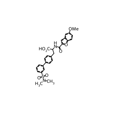 COc1ccc2oc(C(=O)NC(Cc3ccc(-c4cccc(S(=O)(=O)N(C)C)c4)cc3)C(=O)O)cc2c1